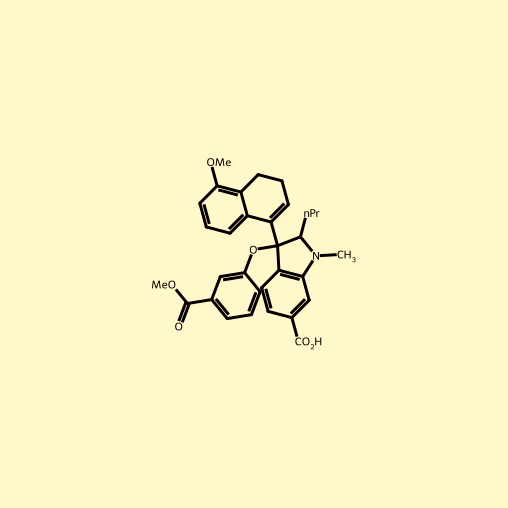 CCCC1N(C)c2cc(C(=O)O)ccc2C1(Oc1cccc(C(=O)OC)c1)C1=CCCc2c(OC)cccc21